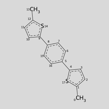 Cc1ccc(-c2ccc(-c3ccc(C)s3)cc2)s1